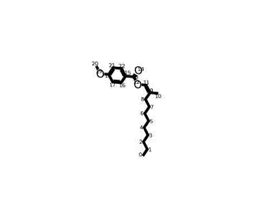 CCCCCCCCCC(C)=COC(=O)c1ccc(OC)cc1